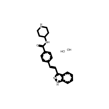 Cl.Cl.O=C(NC1CCNCC1)c1ccc(/C=C/c2n[nH]c3ccccc23)cc1